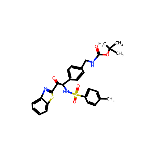 Cc1ccc(S(=O)(=O)NC(C(=O)c2nc3ccccc3s2)c2ccc(CNC(=O)OC(C)(C)C)cc2)cc1